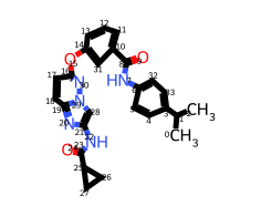 CC(C)c1ccc(NC(=O)c2cccc(Oc3ccc4nc(NC(=O)C5CC5)cn4n3)c2)cc1